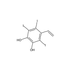 C=Cc1c(I)c(O)c(O)c(I)c1I